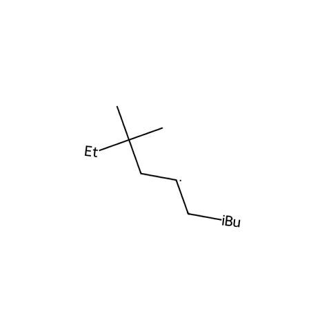 CCC(C)C[CH]CC(C)(C)CC